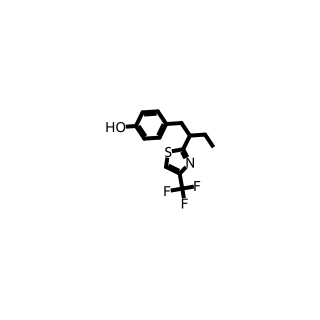 CCC(Cc1ccc(O)cc1)c1nc(C(F)(F)F)cs1